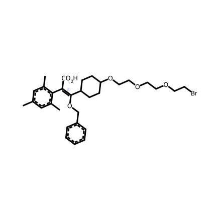 Cc1cc(C)c(/C(C(=O)O)=C(\OCc2ccccc2)C2CCC(OCCOCCOCCBr)CC2)c(C)c1